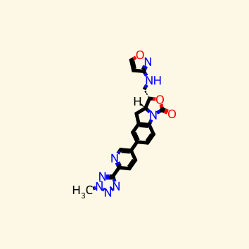 Cn1nnc(-c2ccc(-c3ccc4c(c3)C[C@H]3[C@H](CNc5ccon5)OC(=O)N43)cn2)n1